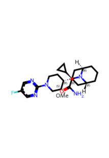 CO[C@@H]1CN(c2ncc(F)cn2)CC[C@@H]1C1C[C@H]2CCC[C@H](C1)N2[C@@H](C(N)=O)C1CC1